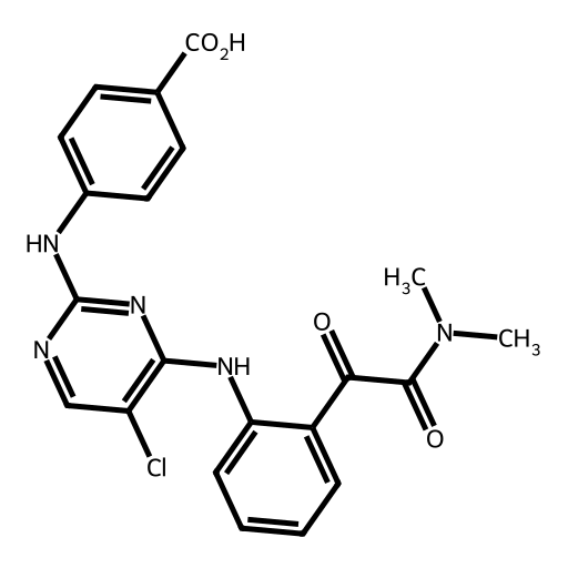 CN(C)C(=O)C(=O)c1ccccc1Nc1nc(Nc2ccc(C(=O)O)cc2)ncc1Cl